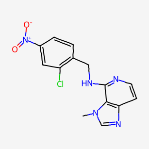 Cn1cnc2ccnc(NCc3ccc([N+](=O)[O-])cc3Cl)c21